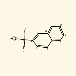 [CH2]C(F)(F)c1ccc2ccccc2c1